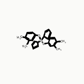 Cc1ccc([O][Zr]([O]c2ccc(C)c(C)c2)([CH]2C=CC=C2)[CH]2C=CC=C2)cc1C